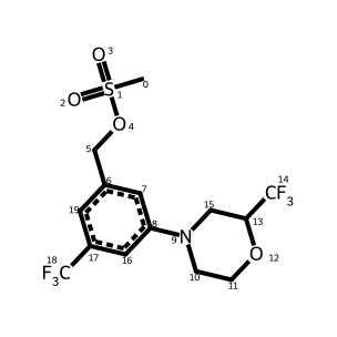 CS(=O)(=O)OCc1cc(N2CCOC(C(F)(F)F)C2)cc(C(F)(F)F)c1